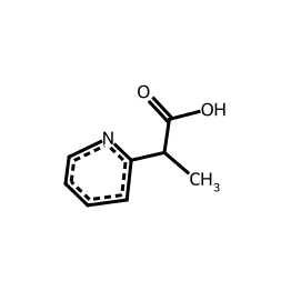 CC(C(=O)O)c1ccccn1